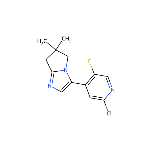 CC1(C)Cc2ncc(-c3cc(Cl)ncc3F)n2C1